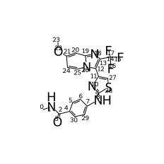 CNC(=O)c1ccc(Nc2nc(-c3c(C(F)(F)F)nc4cc(OC)ccn34)cs2)cc1